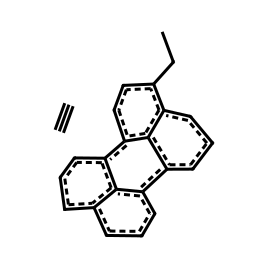 C#C.CCc1ccc2c3cccc4cccc(c5cccc1c52)c43